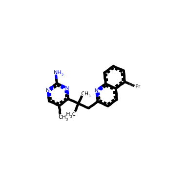 Cc1cnc(N)nc1C(C)(C)Cc1ccc2c(C(C)C)cccc2n1